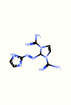 N=C(N)N1C=CN(C(=N)N)C1N=Nc1ncc[nH]1